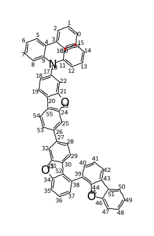 c1ccc(-c2ccccc2N(c2ccccc2)c2ccc3c(c2)oc2cc(-c4ccc5c(c4)oc4cccc(-c6cccc7c6oc6ccccc67)c45)ccc23)cc1